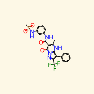 Cc1[nH]c2c(-c3ccccc3)c(C(F)(F)F)nn2c(=O)c1C(=O)Nc1cccc(NS(C)(=O)=O)c1